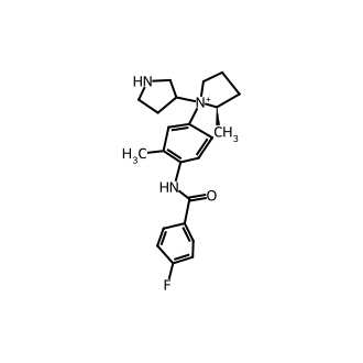 Cc1cc([N+]2(C3CCNC3)CCC[C@H]2C)ccc1NC(=O)c1ccc(F)cc1